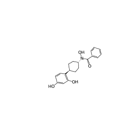 O=C(c1ccccc1)N(O)[C@H]1CC[C@H](c2ccc(O)cc2O)CC1